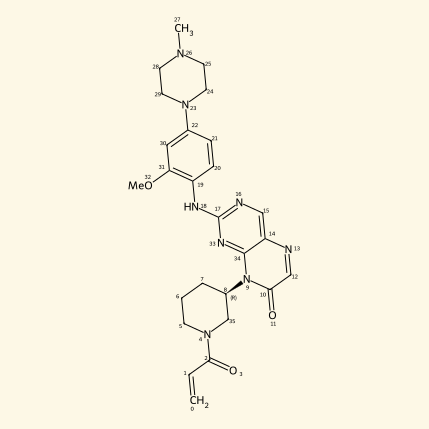 C=CC(=O)N1CCC[C@@H](n2c(=O)cnc3cnc(Nc4ccc(N5CCN(C)CC5)cc4OC)nc32)C1